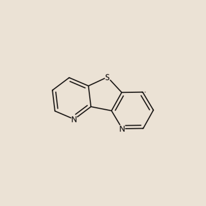 [c]1ccnc2c1sc1cccnc12